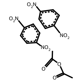 CC(=O)OC(C)=O.O=[N+]([O-])c1ccc([N+](=O)[O-])cc1.O=[N+]([O-])c1ccc([N+](=O)[O-])cc1